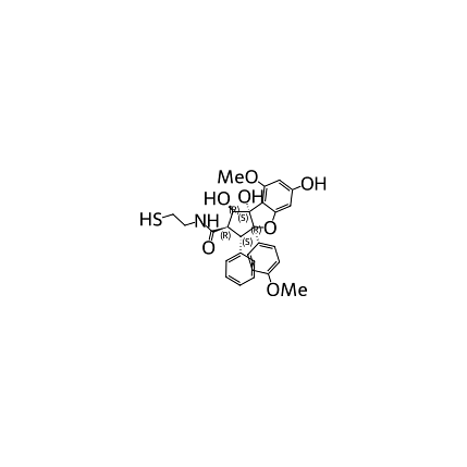 COc1ccc([C@@]23Oc4cc(O)cc(OC)c4[C@]2(O)[C@H](O)[C@H](C(=O)NCCS)[C@H]3c2ccccc2)cc1